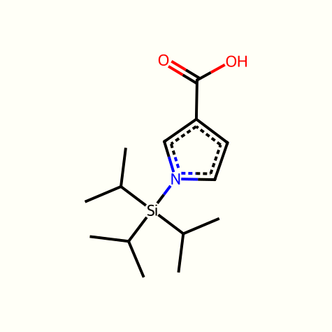 CC(C)[Si](C(C)C)(C(C)C)n1ccc(C(=O)O)c1